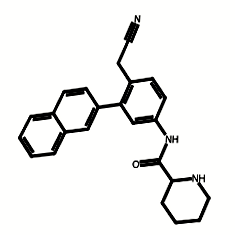 N#CCc1ccc(NC(=O)C2CCCCN2)cc1-c1ccc2ccccc2c1